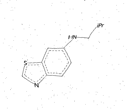 CC(C)CNc1ccc2ncsc2c1